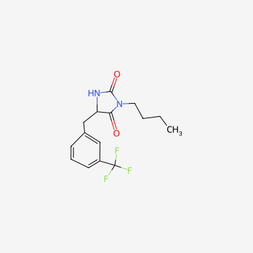 CCCCN1C(=O)NC(Cc2cccc(C(F)(F)F)c2)C1=O